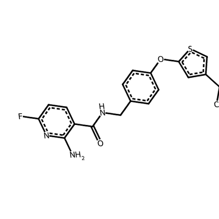 CCc1csc(Oc2ccc(CNC(=O)c3ccc(F)nc3N)cc2)c1